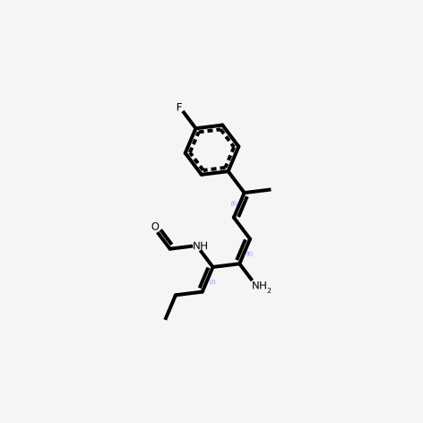 CC/C=C(NC=O)/C(N)=C\C=C(/C)c1ccc(F)cc1